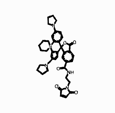 O=C(NCCN1C(=O)C=CC1=O)c1ccc2c(c1)C1(OC2=O)c2ccc(N3CCCC3)cc2[Si]2(CCCCC2)c2cc(N3CCCC3)ccc21